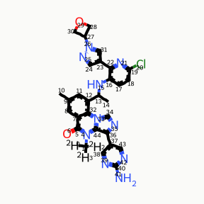 [2H]C([2H])([2H])n1c(=O)c2cc(C)cc(C(C)Nc3ccc(Cl)nc3-c3cnn(C4COC4)c3)c2n2cnc(-c3cnc(N)nc3)c12